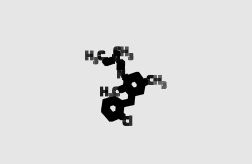 CCN(C)C=Nc1cc(C)cc(Cc2ccccc2Cl)c1C